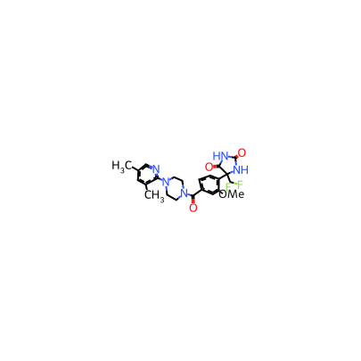 COc1cc(C(=O)N2CCN(c3ncc(C)cc3C)CC2)ccc1C1(C(F)F)NC(=O)NC1=O